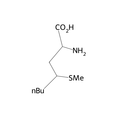 CCCCC(CC(N)C(=O)O)SC